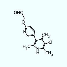 C=C1C(Cl)=C(C)NC(C)=C1c1ccc(OCC=O)nc1